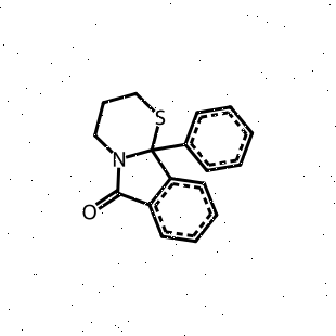 O=C1c2ccccc2C2(c3ccccc3)SCCCN12